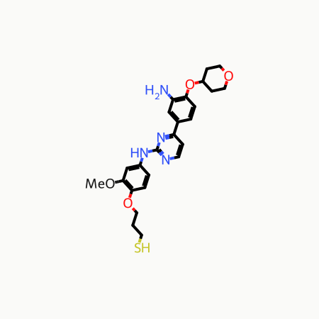 COc1cc(Nc2nccc(-c3ccc(OC4CCOCC4)c(N)c3)n2)ccc1OCCCS